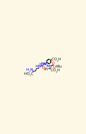 CC(C)C(NC(=O)OC(C)(C)C)C(=O)O.NC(=O)NCCCC(N)C(=O)O.Nc1ccc(C(=O)O)cc1